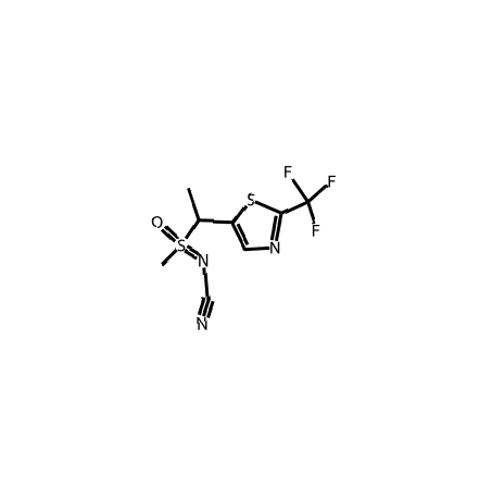 CC(c1cnc(C(F)(F)F)s1)S(C)(=O)=NC#N